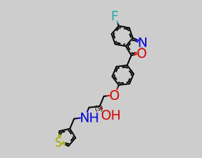 O[C@@H](CNCc1ccsc1)COc1ccc(-c2onc3cc(F)ccc23)cc1